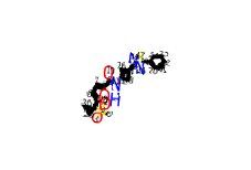 CS(=O)(=O)C1(c2ccc(C(=O)NC34CC(c5nsc(-c6ccccc6)n5)(C3)C4)o2)CC1